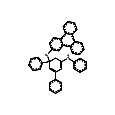 C1=C(Nc2ccccc2)CC(Nc2ccc3c4ccccc4c4ccccc4c3c2)(c2ccccc2)C=C1c1ccccc1